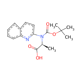 C[C@@H](C(=O)O)N(C(=O)OC(C)(C)C)c1ccc2ccccc2n1